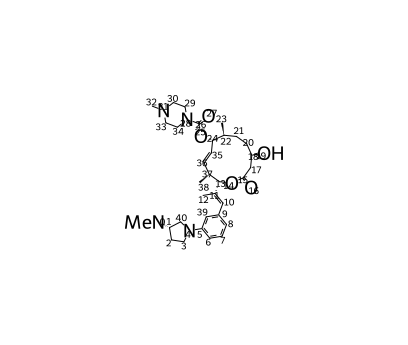 CN[C@H]1CCN(c2cccc(/C=C(\C)[C@H]3OC(=O)C[C@H](O)CC[C@H](C)[C@@H](OC(=O)N4CCN(C)CC4)/C=C/[C@@H]3C)c2)C1